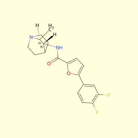 C[C@H]1[C@H](NC(=O)c2ccc(-c3ccc(F)c(F)c3)o2)C2CCN1CC2